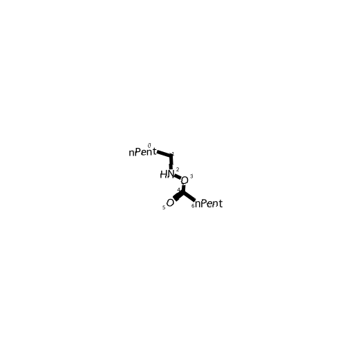 CCCCCCNOC(=O)CCCCC